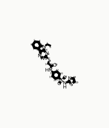 CCn1c2ccccc2c2nnc(SCC(=O)Nc3ccc(S(=O)(=O)Nc4nccs4)cc3)nc21